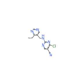 CCc1ncncc1CNc1ncc(C#N)c(Cl)n1